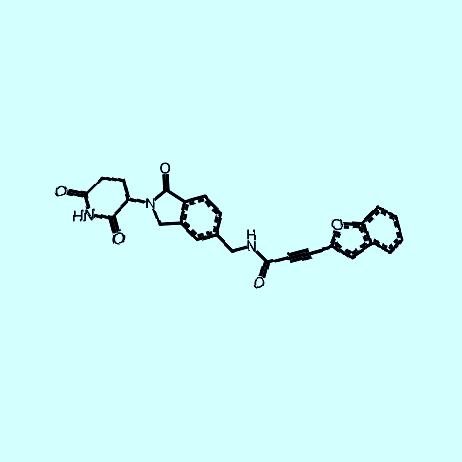 O=C(C#Cc1cc2ccccc2o1)NCc1ccc2c(c1)CN(C1CCC(=O)NC1=O)C2=O